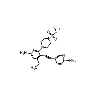 CCc1nc(N)nc(N2CCN(S(=O)(=O)CC)CC2)c1C#Cc1ccc(N)nc1